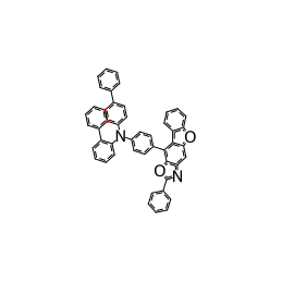 c1ccc(-c2ccc(N(c3ccc(-c4c5oc(-c6ccccc6)nc5cc5oc6ccccc6c45)cc3)c3ccccc3-c3ccccc3)cc2)cc1